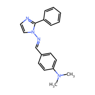 CN(C)c1ccc(C=Nn2ccnc2-c2ccccc2)cc1